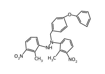 Cc1c(NN(Cc2ccc(Oc3ccccc3)cc2)c2cccc([N+](=O)[O-])c2C)cccc1[N+](=O)[O-]